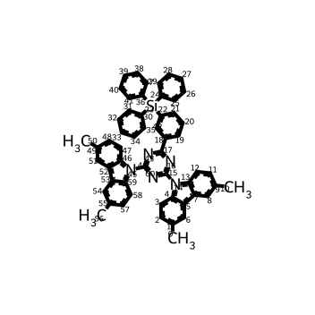 Cc1ccc2c(c1)c1cc(C)ccc1n2-c1nc(-c2cccc([Si](c3ccccc3)(c3ccccc3)c3ccccc3)c2)nc(-n2c3ccc(C)cc3c3cc(C)ccc32)n1